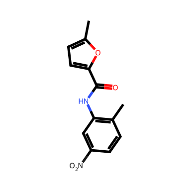 Cc1ccc(C(=O)Nc2cc([N+](=O)[O-])ccc2C)o1